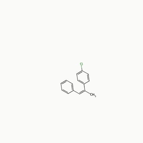 C/C(=C/c1ccccc1)c1ccc(Cl)cc1